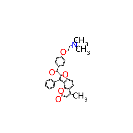 Cc1cc(=O)oc2c1ccc1oc(C(=O)c3ccc(OCCN(C)C)cc3)c(-c3ccccc3)c12